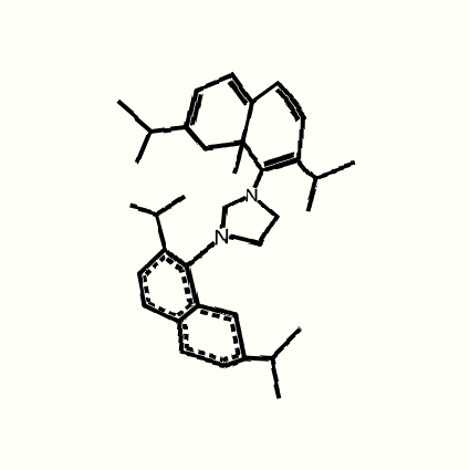 CC(C)C1=CC=C2C=CC(C(C)C)=C(N3CCN(c4c(C(C)C)ccc5ccc(C(C)C)cc45)C3)C2(C)C1